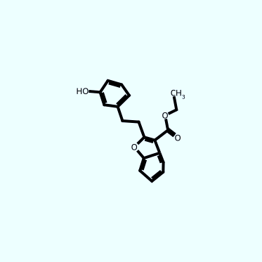 CCOC(=O)c1c(CCc2cccc(O)c2)oc2ccccc12